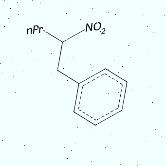 CCCC(Cc1ccccc1)[N+](=O)[O-]